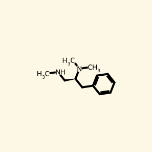 CNC[C@H](Cc1ccccc1)N(C)C